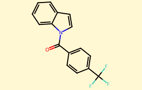 O=C(c1ccc(C(F)(F)F)cc1)n1ccc2ccccc21